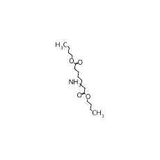 CCCCOC(=O)CCCCCCC(=O)OCCCC.N